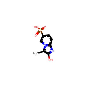 Cc1c(O)nc2ccc(S(=O)(=O)O)cn12